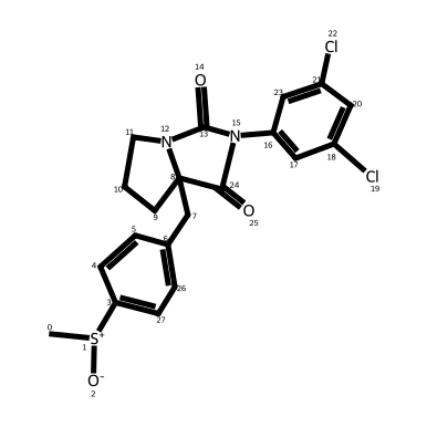 C[S+]([O-])c1ccc(CC23CCCN2C(=O)N(c2cc(Cl)cc(Cl)c2)C3=O)cc1